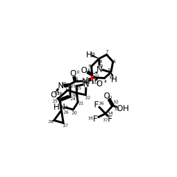 O=C(N[C@H]1C[C@H]2CC[C@@H](C1)N2S(=O)(=O)N1CC2(CCNCC2)C1)c1cc(C2CC2)on1.O=C(O)C(F)(F)F